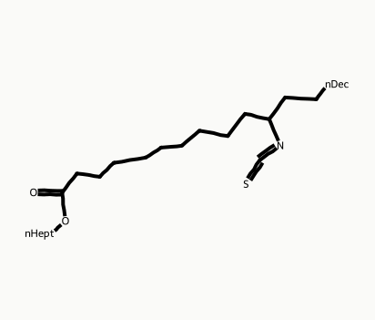 CCCCCCCCCCCCC(CCCCCCCCCC(=O)OCCCCCCC)N=C=S